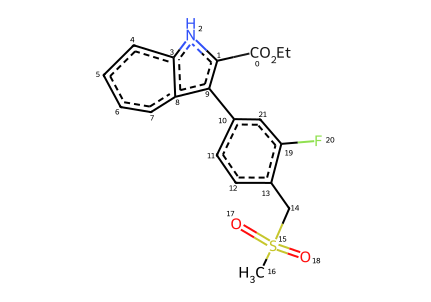 CCOC(=O)c1[nH]c2ccccc2c1-c1ccc(CS(C)(=O)=O)c(F)c1